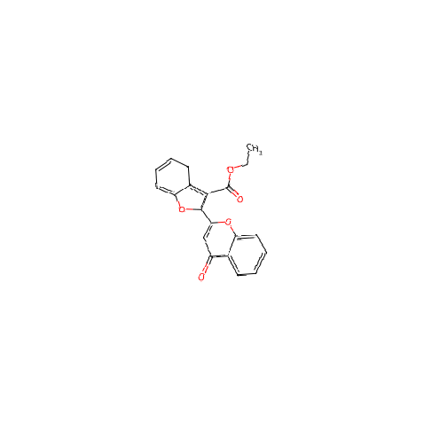 CCOC(=O)C1=C2CC=CC=C2OC1c1cc(=O)c2ccccc2o1